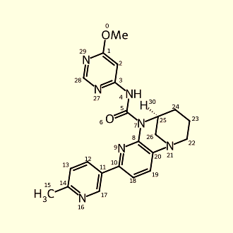 COc1cc(NC(=O)N2c3nc(-c4ccc(C)nc4)ccc3N3CCC[C@H]2C3)ncn1